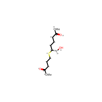 COC(=O)CCCSC(CCCC(=O)OC)[14CH2]O